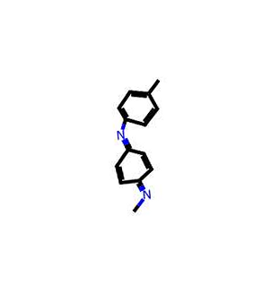 CN=C1C=CC(=Nc2ccc(C)cc2)C=C1